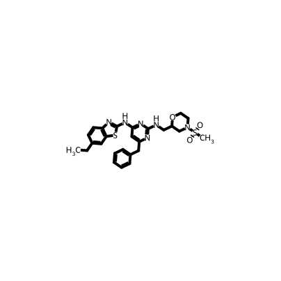 CCc1ccc2nc(Nc3cc(Cc4ccccc4)nc(NCC4CN(S(C)(=O)=O)CCO4)n3)sc2c1